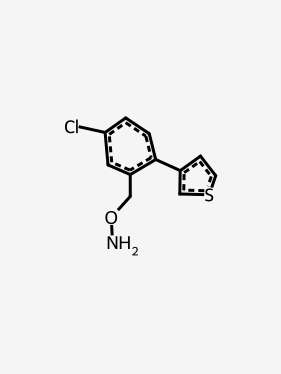 NOCc1cc(Cl)ccc1-c1ccsc1